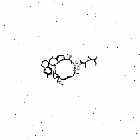 CO[C@H]1/C=C/C[C@H](C)C[S@@](=O)(NC(=O)N[C@H]2C[C@@H]2C(F)F)=NC(=O)c2ccc3c(c2)N(C[C@@H]2CC[C@H]21)C[C@@]1(CCCc2cc(Cl)ccc21)CO3